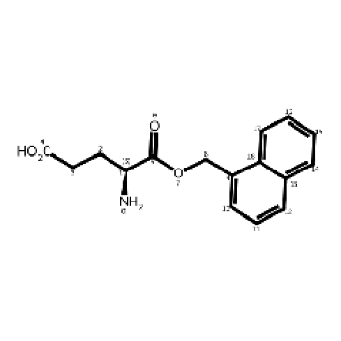 N[C@@H](CCC(=O)O)C(=O)OCc1cccc2ccccc12